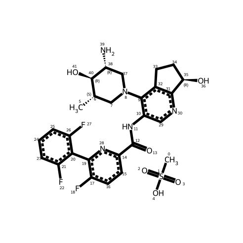 CS(=O)(=O)O.C[C@H]1CN(c2c(NC(=O)c3ccc(F)c(-c4c(F)cccc4F)n3)cnc3c2CC[C@H]3O)C[C@@H](N)[C@@H]1O